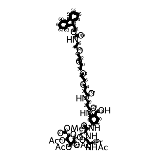 COC(=O)[C@H]1O[C@@H](OC[C@H](NC(=O)[C@@H](NC(C)=O)C(C)C)C(=O)Nc2ccc(CO)c(NC(=O)CCNC(=O)CCOCCOCCOCCOCCNC(=O)OCC3c4ccccc4-c4ccccc43)c2)[C@H](OC(C)=O)[C@@H](OC(C)=O)[C@@H]1OC(C)=O